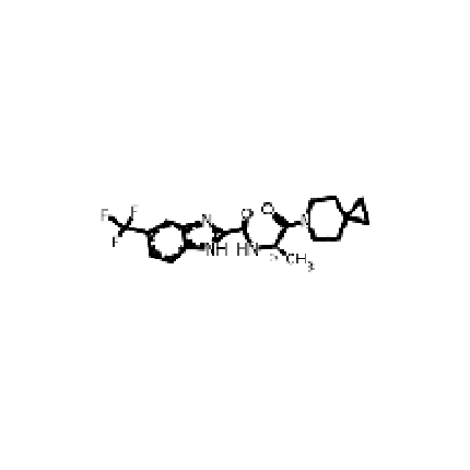 C[C@@H](NC(=O)c1nc2cc(C(F)(F)F)ccc2[nH]1)C(=O)N1CCC2(CC1)CC2